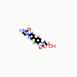 O=C1O[C@@H](CO)CN1c1ccc(-c2ccc(N3CCNC3=O)nc2)c(F)c1